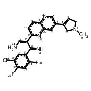 CN1CC=C(c2cnc3ccc(/C(=C/N)C(=N)c4cc(Cl)c(F)cc4F)nc3c2)C1